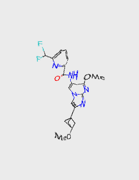 COc1nc2nc(C34CC(OC)(C3)C4)cn2cc1NC(=O)c1cccc(C(F)F)n1